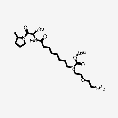 CC1CCCN1C(=O)C(NC(=O)CCCCCCCN(CCOCCN)C(=O)OC(C)(C)C)C(C)(C)C